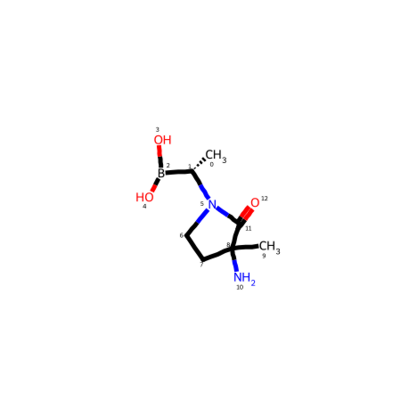 C[C@@H](B(O)O)N1CCC(C)(N)C1=O